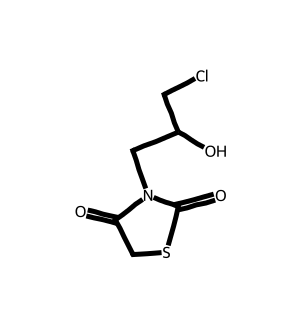 O=C1CSC(=O)N1CC(O)CCl